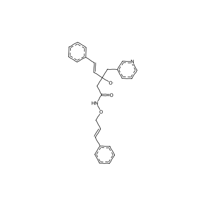 [O]C(C=Cc1ccccc1)(CC(=O)NOCC=Cc1ccccc1)Cc1cccnc1